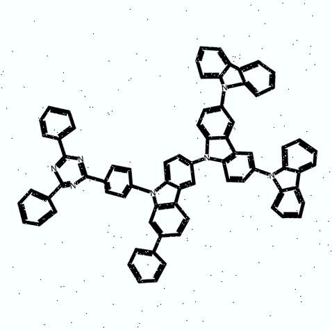 c1ccc(-c2ccc3c4cc(-n5c6ccc(-n7c8ccccc8c8ccccc87)cc6c6cc(-n7c8ccccc8c8ccccc87)ccc65)ccc4n(-c4ccc(-c5nc(-c6ccccc6)nc(-c6ccccc6)n5)cc4)c3c2)cc1